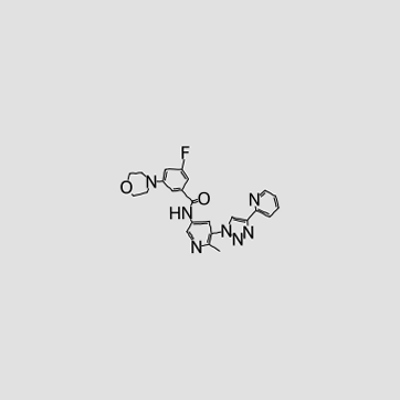 Cc1ncc(NC(=O)c2cc(F)cc(N3CCOCC3)c2)cc1-n1cc(-c2ccccn2)nn1